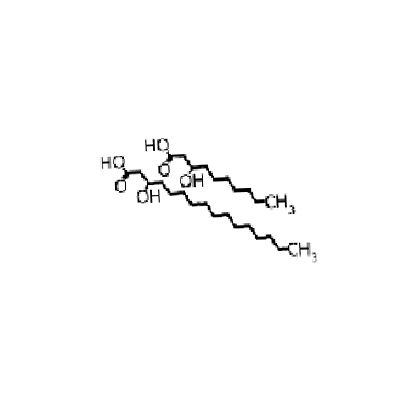 CCCCCCCC(O)CC(=O)O.CCCCCCCCCCCCCC(O)CC(=O)O